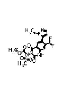 CCn1nccc1-c1cc2c(=O)n(N(C(=O)OC)S(C)(=O)=O)c(=O)[nH]c2cc1C(F)F